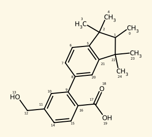 CC1C(C)(C)c2ccc(-c3cc(CO)ccc3C(=O)O)cc2C1(C)C